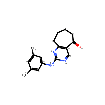 O=C1CCCCc2nc(Nc3cc(C(F)(F)F)cc(C(F)(F)F)c3)ncc21